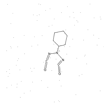 O=C=NN(N=C=O)C1CCCCC1